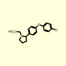 O=C(O)CN1CCCC1c1ccc(Oc2ccc(Cl)cc2)cc1